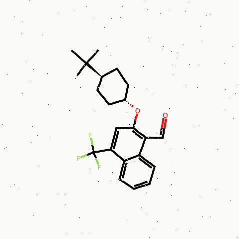 CC(C)(C)[C@H]1CC[C@H](Oc2cc(C(F)(F)F)c3ccccc3c2C=O)CC1